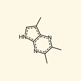 Cc1nc2[nH]cc(C)c2nc1C